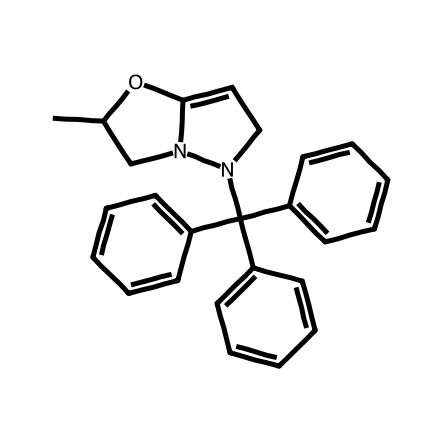 CC1CN2C(=CCN2C(c2ccccc2)(c2ccccc2)c2ccccc2)O1